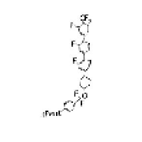 CCCCCc1ccc(C(F)(F)OC2CCC(c3ccc(-c4ccc(-c5ccc(C(F)(F)F)c(F)c5)c(F)c4)c(F)c3)CC2)cc1